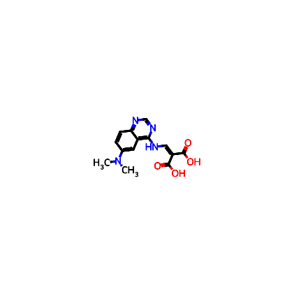 CN(C)c1ccc2ncnc(NC=C(C(=O)O)C(=O)O)c2c1